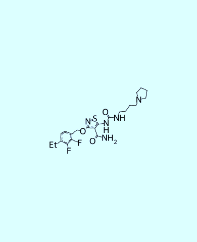 CCc1ccc(COc2nsc(NC(=O)NCCCCN3CCCC3)c2C(N)=O)c(F)c1F